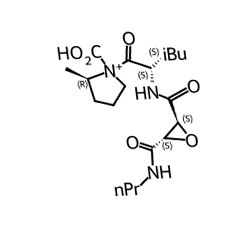 CCCNC(=O)[C@H]1O[C@@H]1C(=O)N[C@H](C(=O)[N+]1(C(=O)O)CCC[C@H]1C)[C@@H](C)CC